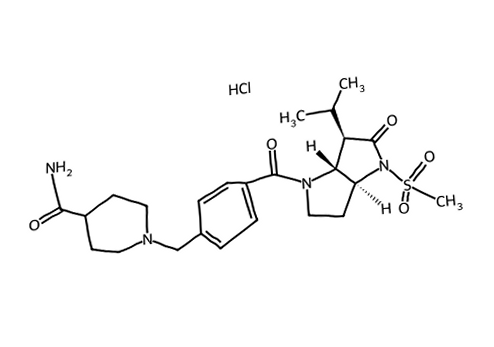 CC(C)[C@H]1C(=O)N(S(C)(=O)=O)[C@H]2CCN(C(=O)c3ccc(CN4CCC(C(N)=O)CC4)cc3)[C@H]12.Cl